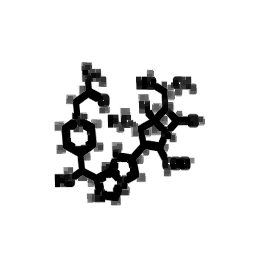 C[C@@H](O)[C@H]1C(=O)N2C(C(=O)[O-])=C(c3cn4cnc(C(O)c5cc[n+](CC(N)=O)cc5)c4s3)[C@H](C)[C@H]12